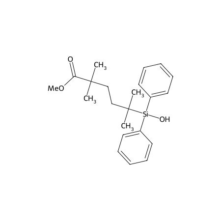 COC(=O)C(C)(C)CCC(C)(C)[Si](O)(c1ccccc1)c1ccccc1